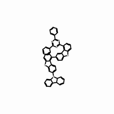 C1=CC2c3ccccc3N(c3ccc4c(c3)sc3cccc(-c5ccc6oc7cccc(-c8nc(-c9ccccc9)nc(-c9ccccc9)n8)c7c6c5)c34)C2C=C1